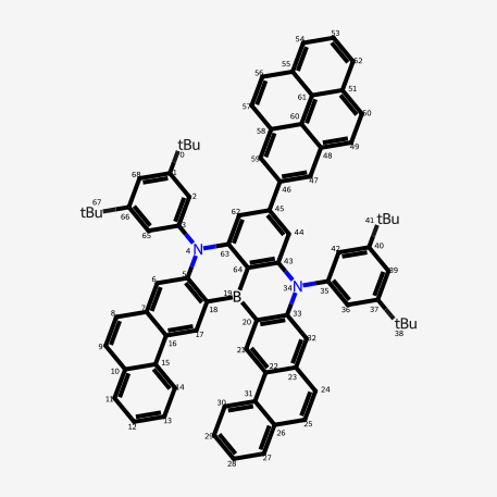 CC(C)(C)c1cc(N2c3cc4ccc5ccccc5c4cc3B3c4cc5c(ccc6ccccc65)cc4N(c4cc(C(C)(C)C)cc(C(C)(C)C)c4)c4cc(-c5cc6ccc7cccc8ccc(c5)c6c78)cc2c43)cc(C(C)(C)C)c1